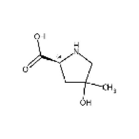 CC1(O)CN[C@H](C(=O)O)C1